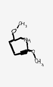 COC1=CC=CC(OC)N1